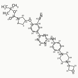 CC(C)(C)OC(=O)N1CCC(Oc2ccc(-c3ncnc(Nc4ccc(N5CCN(C6COC6)CC5)cc4)n3)cc2C#N)C1